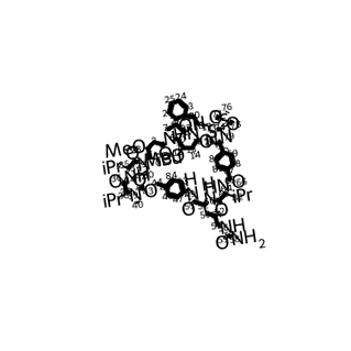 CC[C@H](C)[C@@H]([C@@H](CC(=O)N1CCC[C@H]1[C@H](OC)[C@@H](C)C(=O)N[C@H](C)C[C@]1(O)C=CC=CC1)OC)N(C)C(=O)[C@@H](NC(=O)[C@H](C(C)C)N(C)C(=O)OCc1ccc(NC(=O)[C@H](CCCNC(N)=O)NC(=O)[C@@H](NC(=O)c2ccc(-c3nsc(S(C)(=O)=O)n3)cc2)C(C)C)cc1)C(C)C